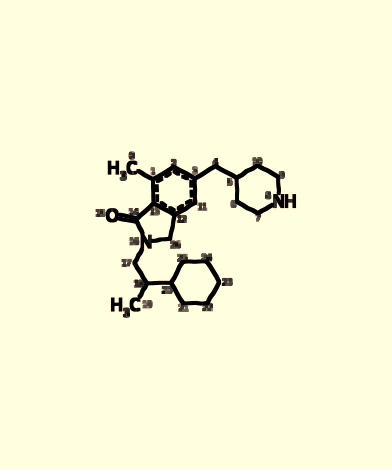 Cc1cc(CC2CCNCC2)cc2c1C(=O)N(CC(C)C1CCCCC1)C2